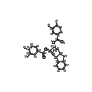 Cc1ccc(C(=O)O[C@@H]2C3CC(C4c5ccccc5CC43)[C@@H]2OC(=O)c2ccc(C)c(C)c2)cc1C